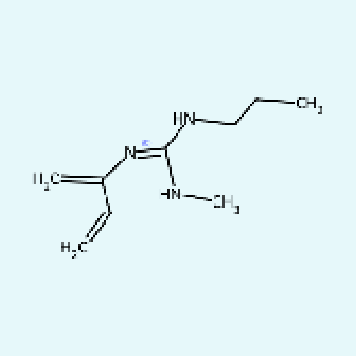 C=CC(=C)/N=C(\NC)NCCC